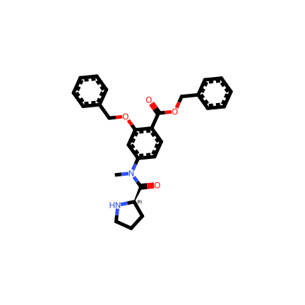 CN(C(=O)[C@H]1CCCN1)c1ccc(C(=O)OCc2ccccc2)c(OCc2ccccc2)c1